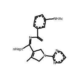 C=C(/N=C(/CCCCCCC)C1=C(C)CN(c2ncccn2)C1)c1cccc(NC(C)=O)c1